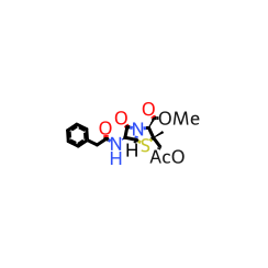 COC(=O)[C@@H]1N2C(=O)[C@@H](NC(=O)Cc3ccccc3)[C@H]2S[C@@]1(C)COC(C)=O